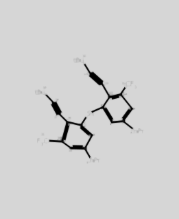 CCCc1cc(Sc2cc(CCC)cc(C(F)(F)F)c2C#CC(C)(C)C)c(C#CC(C)(C)C)c(C(F)(F)F)c1